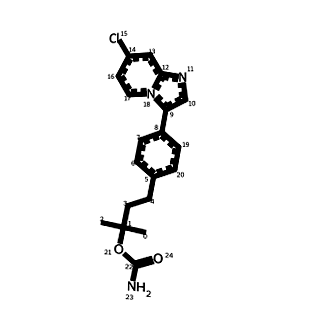 CC(C)(CCc1ccc(-c2cnc3cc(Cl)ccn23)cc1)OC(N)=O